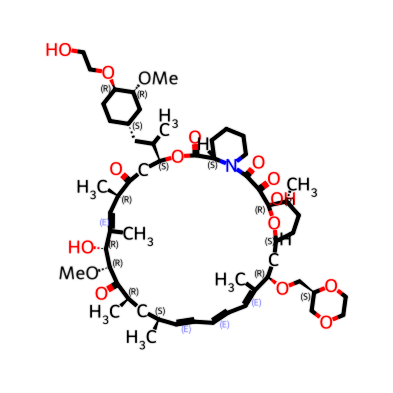 CO[C@@H]1C[C@H](CC(C)[C@@H]2CC(=O)[C@H](C)/C=C(\C)[C@@H](O)[C@@H](OC)C(=O)[C@H](C)C[C@H](C)/C=C/C=C/C=C(\C)[C@H](OC[C@@H]3COCCO3)C[C@@H]3CC[C@@H](C)[C@@](O)(O3)C(=O)C(=O)N3CCCC[C@H]3C(=O)O2)CC[C@H]1OCCO